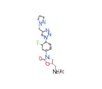 CC(=O)NCC1CN(c2ccc(-n3cc(Cn4cccn4)nn3)c(F)c2)C(=O)O1